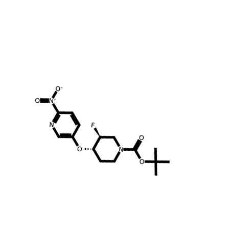 CC(C)(C)OC(=O)N1CC[C@H](Oc2ccc([N+](=O)[O-])nc2)[C@@H](F)C1